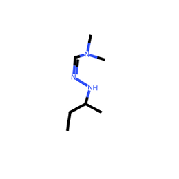 CCC(C)N/N=C\N(C)C